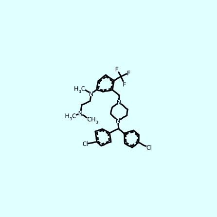 CN(C)CCN(C)c1ccc(C(F)(F)F)c(CN2CCN(C(c3ccc(Cl)cc3)c3ccc(Cl)cc3)CC2)c1